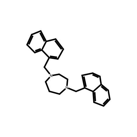 c1ccc2c(CN3CCCN(Cc4cccc5ccccc45)CC3)cccc2c1